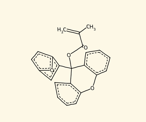 C=C(C)C(=O)OC1(c2cc3ccc2o3)c2ccccc2Oc2ccccc21